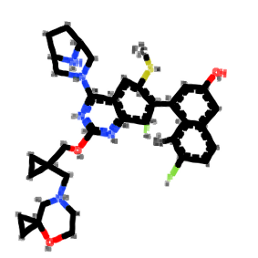 CCc1c(F)ccc2cc(O)cc(-c3c(SC(F)(F)F)cc4c(N5CC6CCC(C5)N6)nc(OCC5(CN6CCOC7(CC7)C6)CC5)nc4c3F)c12